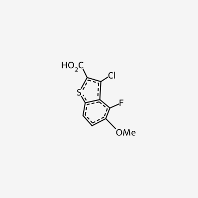 COc1ccc2sc(C(=O)O)c(Cl)c2c1F